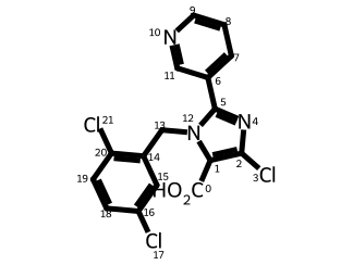 O=C(O)c1c(Cl)nc(-c2cccnc2)n1Cc1cc(Cl)ccc1Cl